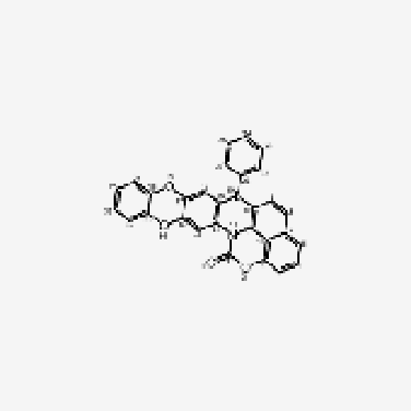 O=C1Oc2cccc3ccc4c(c23)N1c1cc2c(cc1B4c1ccccc1)Oc1ccccc1O2